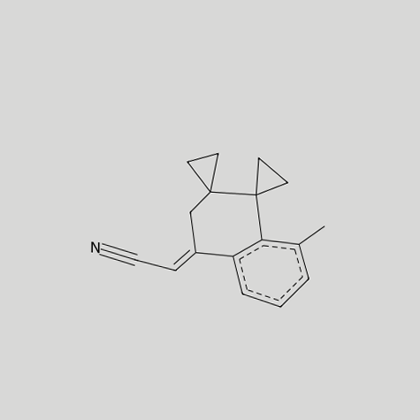 Cc1cccc2c1C1(CC1)C1(CC1)CC2=CC#N